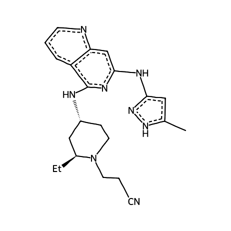 CC[C@H]1C[C@H](Nc2nc(Nc3cc(C)[nH]n3)cc3ncccc23)CCN1CCC#N